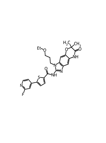 CCOCCCn1c(NC(=O)c2ccc(-c3ccnc(F)c3)s2)nc2cc3c(cc21)OC(C)(C)C(=O)N3